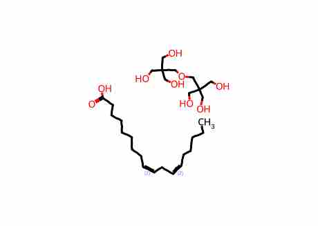 CCCCC/C=C\C/C=C\CCCCCCCC(=O)O.OCC(CO)(CO)COCC(CO)(CO)CO